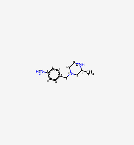 CC1CN(Cc2ccc(N)cc2)CCN1